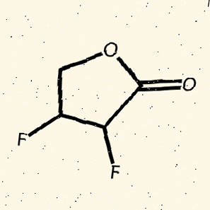 O=C1OCC(F)C1F